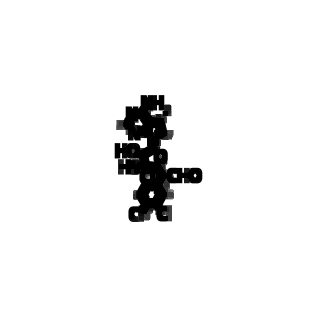 C[C@@]1(S)[C@@H]([C@H](C=O)c2ccc(Cl)c(Cl)c2)O[C@@H](n2ccc3c(N)ncnc32)[C@@H]1O